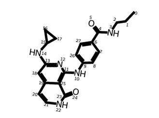 CCCNC(=O)c1ccc(Nc2nc(NC3CC3)cc3cc[nH]c(=O)c23)cc1